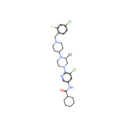 CC[C@H]1CN(c2ncc(NC(=O)C3CCCCC3)cc2Cl)CCN1C1CCN(Cc2ccc(Cl)cc2F)CC1